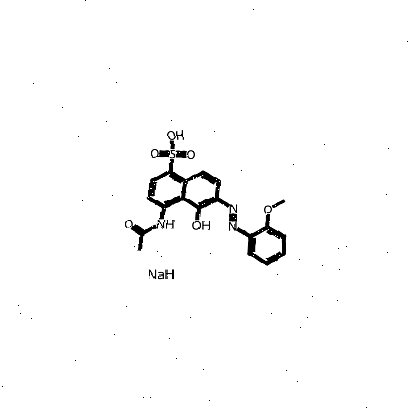 COc1ccccc1N=Nc1ccc2c(S(=O)(=O)O)ccc(NC(C)=O)c2c1O.[NaH]